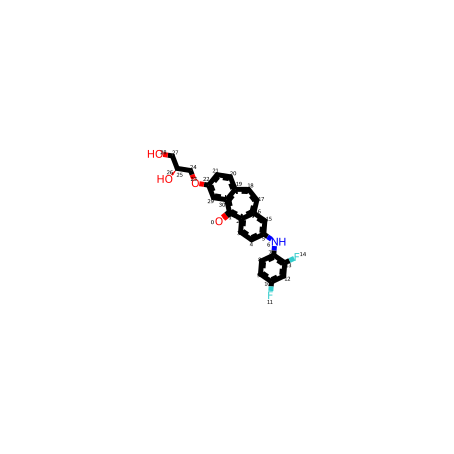 O=c1c2ccc(Nc3ccc(F)cc3F)cc2ccc2ccc(OC[C@H](O)CO)cc12